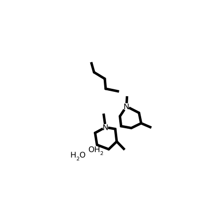 CC1CCCN(C)C1.CC1CCCN(C)C1.CCCCC.O.O